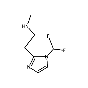 CNCCc1nccn1C(F)F